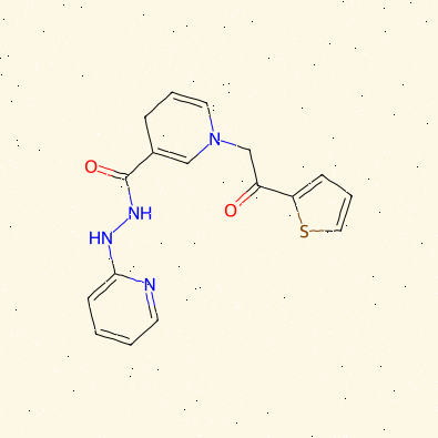 O=C(NNc1ccccn1)C1=CN(CC(=O)c2cccs2)C=CC1